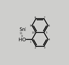 Oc1cccc2ccccc12.[Sn]